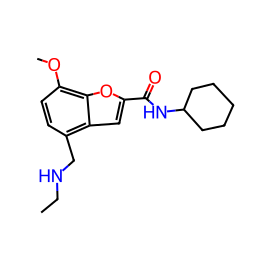 CCNCc1ccc(OC)c2oc(C(=O)NC3CCCCC3)cc12